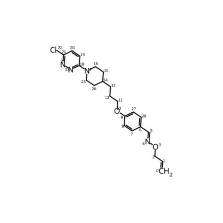 C=CCON=Cc1ccc(OCCCC2CCN(c3ccc(Cl)nn3)CC2)cc1